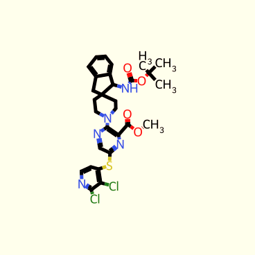 COC(=O)c1nc(Sc2ccnc(Cl)c2Cl)cnc1N1CCC2(CC1)Cc1ccccc1C2NC(=O)OC(C)(C)C